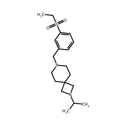 CCS(=O)(=O)c1cccc(CN2CCC3(CC2)CN(C(C)C)C3)c1